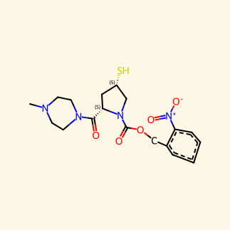 CN1CCN(C(=O)[C@@H]2C[C@H](S)CN2C(=O)OCc2ccccc2[N+](=O)[O-])CC1